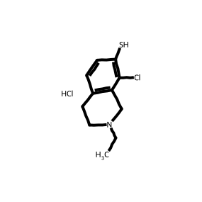 CCN1CCc2ccc(S)c(Cl)c2C1.Cl